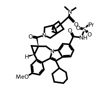 COc1ccc2c(c1)[C@@H]1C[C@]1(C(=O)N1CC34CCC3(CN(C(=O)N(C)C)C4)C1)Cn1c-2c(C2CCCCC2)c2ccc(C(=O)NS(=O)(=O)C(C)C)cc21